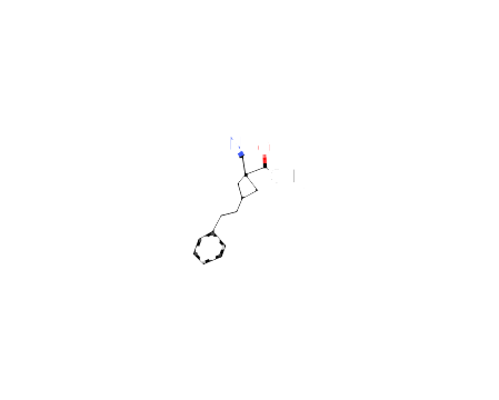 CC(=O)C1(C#N)CC(CCc2ccccc2)C1